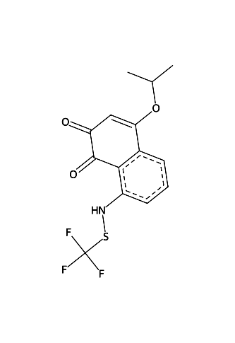 CC(C)OC1=CC(=O)C(=O)c2c(NSC(F)(F)F)cccc21